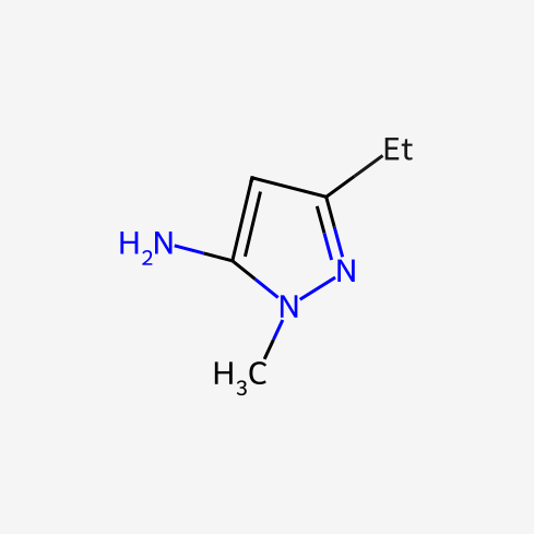 CCc1cc(N)n(C)n1